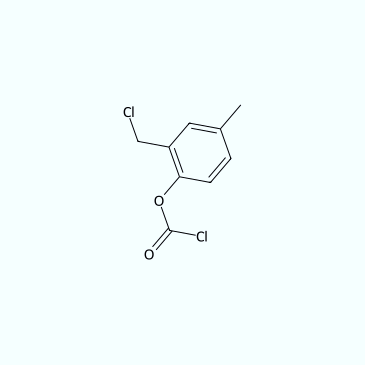 Cc1ccc(OC(=O)Cl)c(CCl)c1